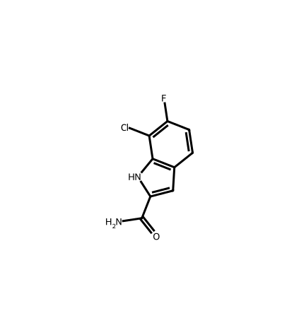 NC(=O)c1cc2ccc(F)c(Cl)c2[nH]1